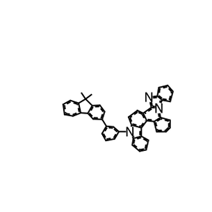 CC1(C)c2ccccc2-c2cc(-c3cccc(-n4c5ccccc5c5c6c7ccccc7n7c8ccccc8nc7c6ccc54)c3)ccc21